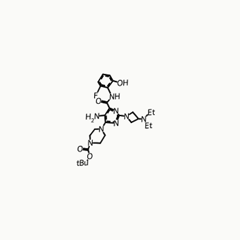 CCN(CC)C1CN(c2nc(C(=O)Nc3c(O)cccc3F)c(N)c(N3CCN(C(=O)OC(C)(C)C)CC3)n2)C1